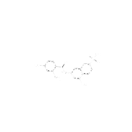 Cc1ccc(C(=O)Nc2cc(O)c3ccc(S(=O)(=O)O)cc3c2)c(N)c1